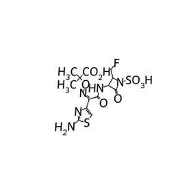 CC(C)(ON=C(C(=O)NC1C(=O)N(S(=O)(=O)O)C1CF)c1csc(N)n1)C(=O)O